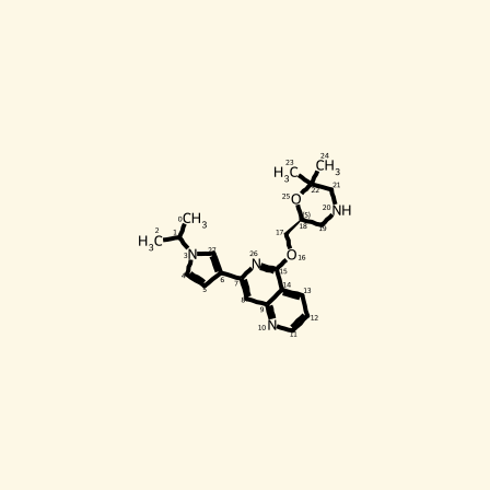 CC(C)n1ccc(-c2cc3ncccc3c(OC[C@@H]3CNCC(C)(C)O3)n2)c1